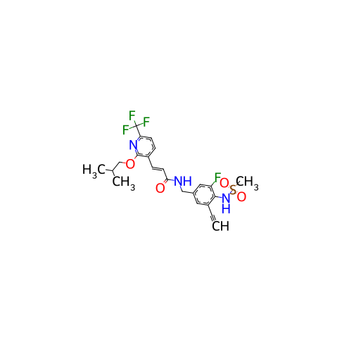 C#Cc1cc(CNC(=O)/C=C/c2ccc(C(F)(F)F)nc2OCC(C)C)cc(F)c1NS(C)(=O)=O